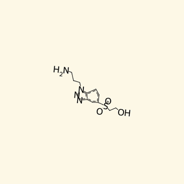 NCCCn1nnc2cc(S(=O)(=O)CCO)ccc21